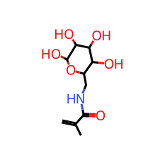 C=C(C)C(=O)NCC1OC(O)C(O)C(O)C1O